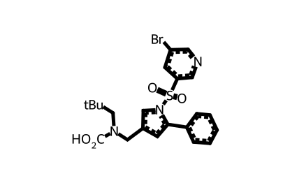 CC(C)(C)CN(Cc1cc(-c2ccccc2)n(S(=O)(=O)c2cncc(Br)c2)c1)C(=O)O